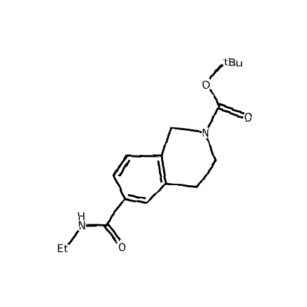 CCNC(=O)c1ccc2c(c1)CCN(C(=O)OC(C)(C)C)C2